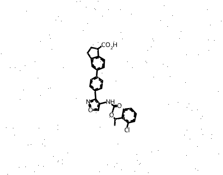 CC(OC(=O)Nc1conc1-c1ccc(-c2ccc3c(c2)CCC3C(=O)O)cc1)c1ccccc1Cl